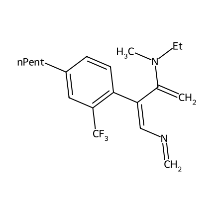 C=N/C=C(\C(=C)N(C)CC)c1ccc(CCCCC)cc1C(F)(F)F